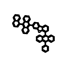 c1ccc(-c2c3ccccc3c(-c3cccc4c3oc3cc(-c5c6ccccc6c(-c6cccc7ccccc67)c6ccccc56)ccc34)c3ccccc23)cc1